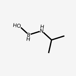 CC(C)NBO